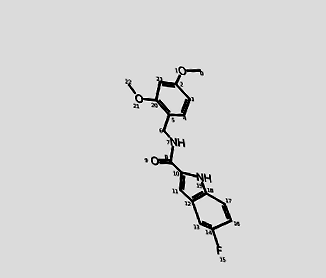 COc1ccc(CNC(=O)c2cc3cc(F)ccc3[nH]2)c(OC)c1